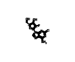 Nc1nc(Cl)nc2c1ncn2[C@@H]1O[C@H](CO)C(O)[C@H]1F